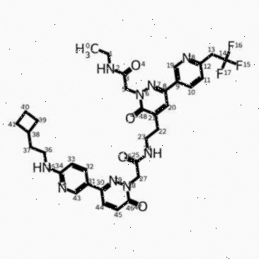 CCNC(=O)Cn1nc(-c2ccc(CC(F)(F)F)nc2)cc(CCNC(=O)Cn2nc(-c3ccc(NCCC4CCC4)nc3)ccc2=O)c1=O